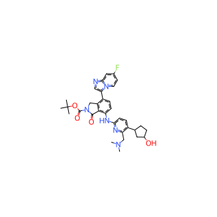 CN(C)Cc1nc(Nc2ccc(-c3cnc4cc(F)ccn34)c3c2C(=O)N(C(=O)OC(C)(C)C)C3)ccc1C1CCC(O)C1